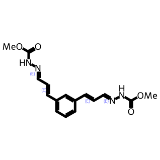 COC(=O)N/N=C/C=C/c1cccc(/C=C/C=N/NC(=O)OC)c1